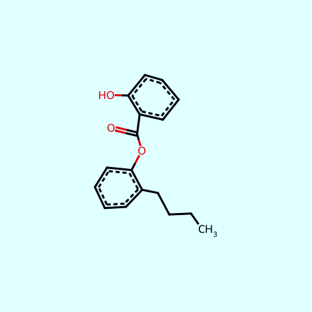 CCCCc1ccccc1OC(=O)c1ccccc1O